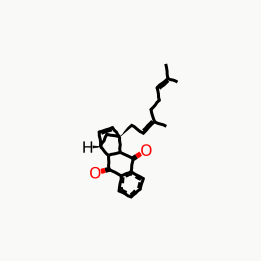 CC(C)=CCCC(C)=CC[C@]12C=C[C@H](C1)C1C(=O)c3ccccc3C(=O)C12